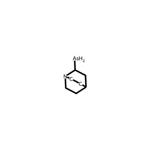 [AsH2]C1CC2CCN1CC2